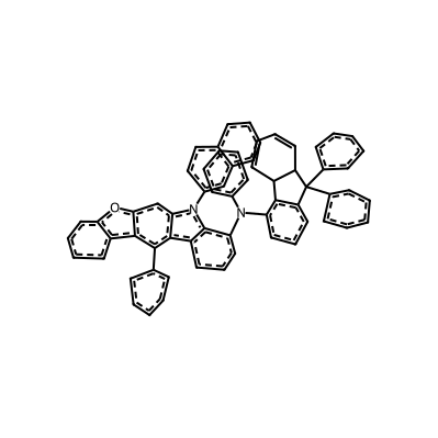 C1=CC2c3c(N(c4ccccc4)c4cccc5c6c(-c7ccccc7)c7c(cc6n(-c6ccc8ccccc8c6)c45)oc4ccccc47)cccc3C(c3ccccc3)(c3ccccc3)C2C=C1